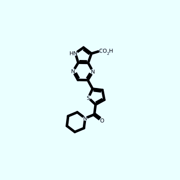 O=C(O)c1c[nH]c2ncc(-c3ccc(C(=O)N4CCCCC4)s3)nc12